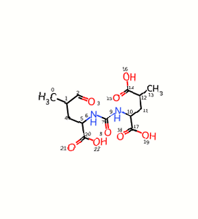 CC(C=O)CC(NC(=O)NC(CC(C)C(=O)O)C(=O)O)C(=O)O